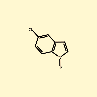 CC(C)n1ccc2cc(Cl)ccc21